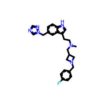 CN(CCc1c[nH]c2ccc(Cn3cncn3)cc12)CC1CN(Cc2ccc(F)cc2)C1